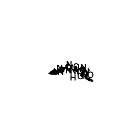 CC#CCn1c(=O)c2c(ncn2[C@@H](C)C(=O)Nc2cncc(-c3cnc(N4CC5CC5C4)nc3)n2)n(C)c1=O